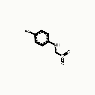 CC(=O)c1ccc(NC[SH](=O)=O)cc1